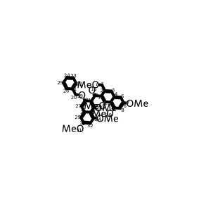 COCc1cc2cc(OC)cc(OC)c2c(OC)c1C(=O)c1c(OCc2ccccc2)cc2cc(OC)cc(OC)c2c1OC